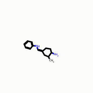 CC1CC(=CNc2ccccc2)CCC1N